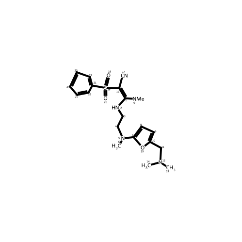 CNC(NCCN(C)c1ccc(CN(C)C)o1)=C(C#N)S(=O)(=O)c1ccccc1